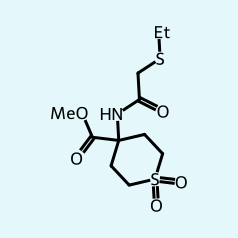 CCSCC(=O)NC1(C(=O)OC)CCS(=O)(=O)CC1